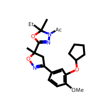 CCC1(C)OC(C2(C)CC(c3ccc(OC)c(OC4CCCC4)c3)=NO2)=NN1C(C)=O